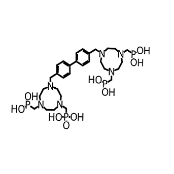 O=P(O)(O)CN1CCN(Cc2ccc(-c3ccc(CN4CCN(CP(O)O)CCN(CP(O)O)CC4)cc3)cc2)CCN(CP(O)O)CC1